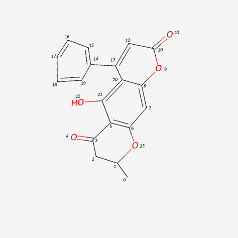 CC1CC(=O)c2c(cc3oc(=O)cc(-c4ccccc4)c3c2O)O1